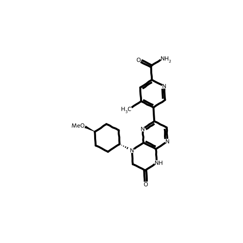 CO[C@H]1CC[C@H](N2CC(=O)Nc3ncc(-c4cnc(C(N)=O)cc4C)nc32)CC1